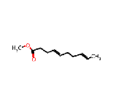 CC=CCCC=CCCC(=O)OC